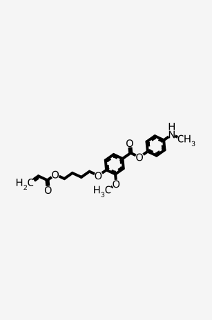 C=CC(=O)OCCCCOc1ccc(C(=O)Oc2ccc(NC)cc2)cc1OC